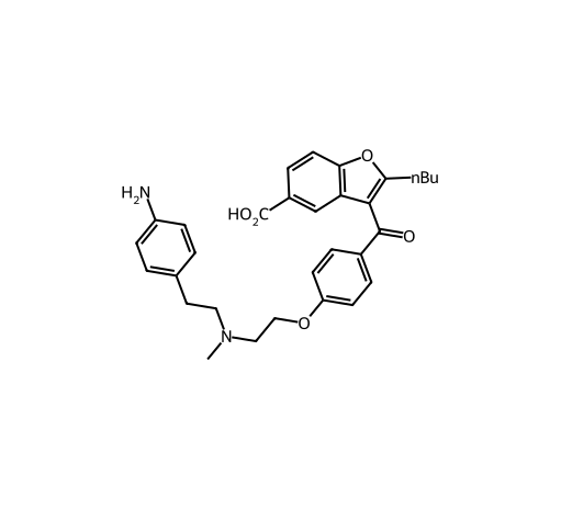 CCCCc1oc2ccc(C(=O)O)cc2c1C(=O)c1ccc(OCCN(C)CCc2ccc(N)cc2)cc1